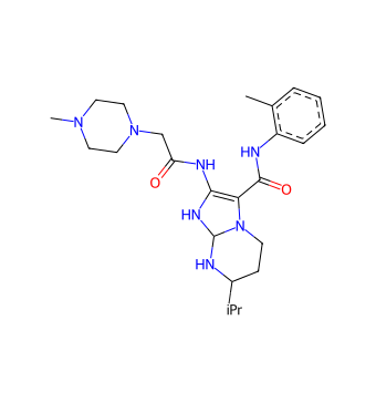 Cc1ccccc1NC(=O)C1=C(NC(=O)CN2CCN(C)CC2)NC2NC(C(C)C)CCN12